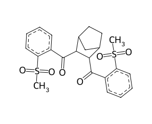 CS(=O)(=O)c1ccccc1C(=O)C1C2CCC(C2)C1C(=O)c1ccccc1S(C)(=O)=O